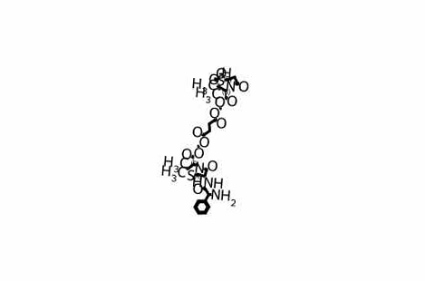 CC1(C)S[C@@H]2C(NC(=O)C(N)c3ccccc3)C(=O)N2[C@H]1C(=O)OCOC(=O)CCC(=O)OCOC(=O)[C@@H]1N2C(=O)C[C@H]2S(=O)(=O)C1(C)C